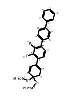 CCCCCCCOC1(OCCCCCCC)C=CC(c2ccc(-c3ccc(-c4ccccc4)cc3)c(F)c2F)=CC1